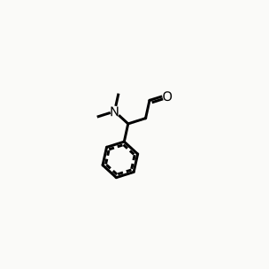 CN(C)C(CC=O)c1ccccc1